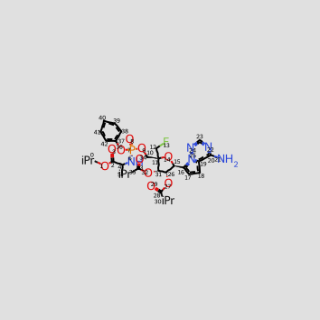 CC(C)OC(=O)C(C)N[P@](=O)(OC[C@@]1(CF)O[C@@H](c2ccc3c(N)ncnn23)[C@H](OC(=O)C(C)C)[C@@H]1OC(=O)C(C)C)Oc1ccccc1